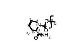 C[C@@H]1C=CCN(C(=O)OC(C)(C)C)[C@@H]1C(N)=O